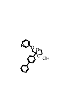 Cl.c1ccc(-c2ccc(C3(COc4cccnc4)OCCO3)cc2)cc1